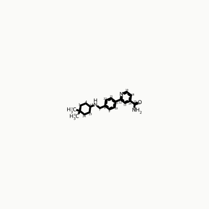 CC1(C)CCC(NCc2ccc(-c3cc(C(N)=O)ccn3)cc2)CC1